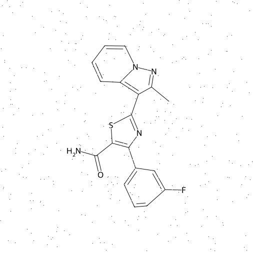 Cc1nn2ccccc2c1-c1nc(-c2cccc(F)c2)c(C(N)=O)s1